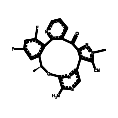 C[C@H]1Oc2nc(cnc2N)-c2c(nn(C)c2C#N)C(=O)c2cccnc2-c2c(F)cc(F)cc21